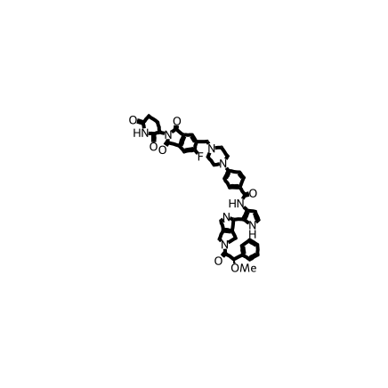 CO[C@@H](C(=O)N1CC2=C(C1)C(c1[nH]ccc1NC(=O)c1ccc(N3CCN(Cc4cc5c(cc4F)C(=O)N(C4CCC(=O)NC4=O)C5=O)CC3)cc1)N=C2)c1ccccc1